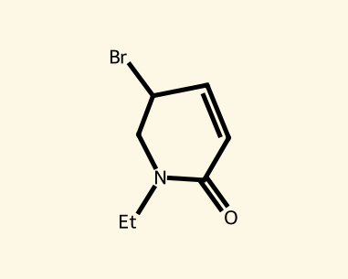 CCN1CC(Br)C=CC1=O